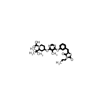 C=CCN1C(=O)SC(=Cc2cccc(Oc3ncnc(OC4CCN(C(=O)O)C(C(C)(C)C)C4)c3C)c2)C1=O